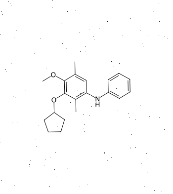 COc1c(C)cc(Nc2ccccc2)c(C)c1OC1CCCC1